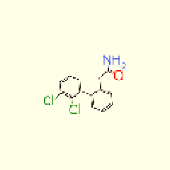 NC(=O)Cc1ccccc1-c1cccc(Cl)c1Cl